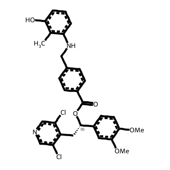 COc1ccc([C@H](Cc2c(Cl)cncc2Cl)OC(=O)c2ccc(CNc3cccc(O)c3C)cc2)cc1OC